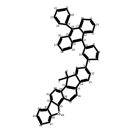 CC1(C)c2cc(-c3cccc(-c4c5ccccc5c(-c5ccccc5)c5ccccc45)c3)ccc2-c2ccc3c(ccc4c5ccccc5sc34)c21